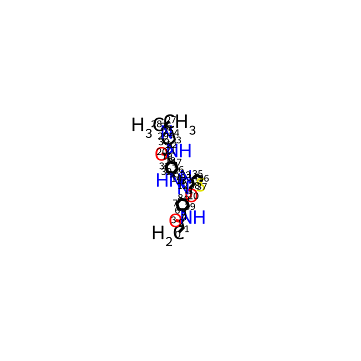 C=CC(=O)Nc1cccc(Oc2nc(Nc3ccc(C(=O)NC4CCN(C(C)C)CC4)cc3)nc3ccsc23)c1